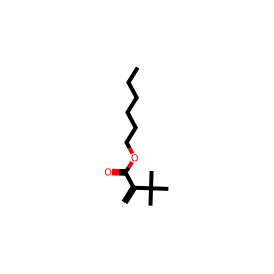 C=C(C(=O)OCCCCCC)C(C)(C)C